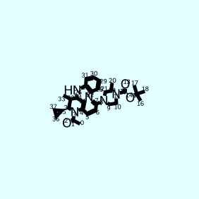 CC(=O)N1c2ccc(N3CCN(C(=O)OC(C)(C)C)C(C)C3)nc2C(Nc2ccccc2)C(C)[C@@H]1C1CC1